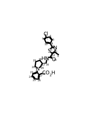 Cc1nc(-c2ccc(Cl)cc2)sc1C(=O)NC[C@@H]1CCCN(c2ccccc2C(=O)O)C1